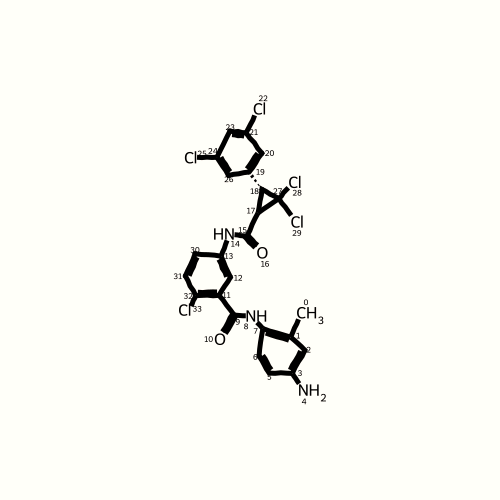 Cc1cc(N)ccc1NC(=O)c1cc(NC(=O)C2[C@H](c3cc(Cl)cc(Cl)c3)C2(Cl)Cl)ccc1Cl